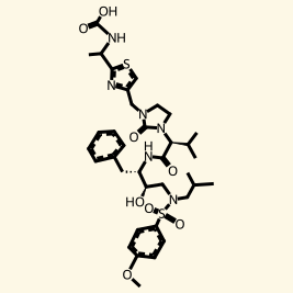 COc1ccc(S(=O)(=O)N(CC(C)C)C[C@@H](O)[C@H](Cc2ccccc2)NC(=O)[C@H](C(C)C)N2CCN(Cc3csc(C(C)NC(=O)O)n3)C2=O)cc1